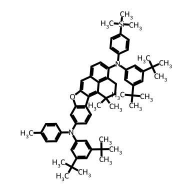 Cc1ccc(N(c2cc(C(C)(C)C)cc(C(C)(C)C)c2)c2ccc3c(c2)oc2cc4ccc(N(c5ccc([Si](C)(C)C)cc5)c5cc(C(C)(C)C)cc(C(C)(C)C)c5)c5c4c(c23)C(C)(C)CC5)cc1